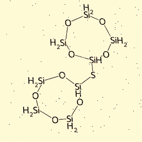 O1[SiH2]O[SiH2]O[SiH](S[SiH]2O[SiH2]O[SiH2]O[SiH2]O2)O[SiH2]1